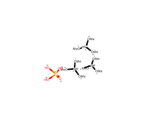 CO[SiH](OC)OC.CO[SiH](OC)OC.CO[SiH](OC)OC.O=P(O)(O)O